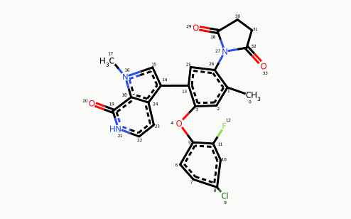 Cc1cc(Oc2ccc(Cl)cc2F)c(-c2cn(C)c3c(=O)[nH]ccc23)cc1N1C(=O)CCC1=O